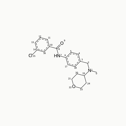 CN(Cc1ccc(NC(=O)c2cccc(Cl)c2)cc1)C1CCOCC1